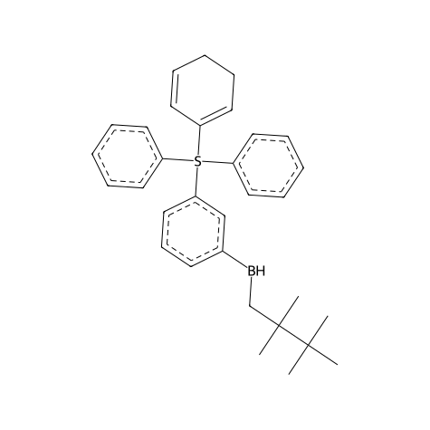 CC(C)(C)C(C)(C)CBc1cccc(S(C2=CCCC=C2)(c2ccccc2)c2ccccc2)c1